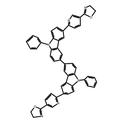 c1ccc(-n2c3ccc(-c4ccc5c(c4)c4cc(-c6ccc(C7=NCCO7)cn6)ccc4n5-c4ccccc4)cc3c3cc(-c4ccc(C5=NCCO5)cn4)ccc32)cc1